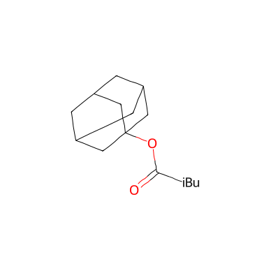 CCC(C)C(=O)OC12CC3CC(CC(C3)C1)C2